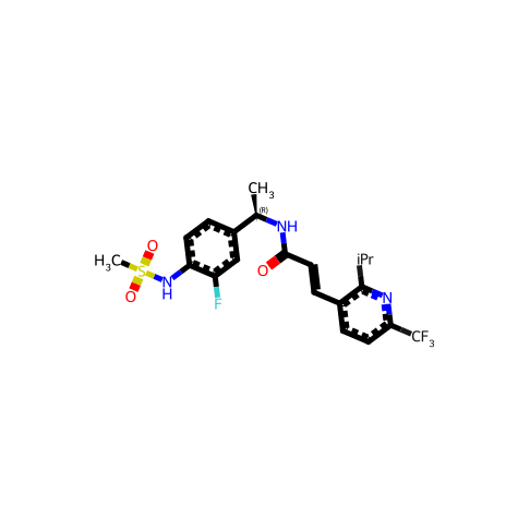 CC(C)c1nc(C(F)(F)F)ccc1C=CC(=O)N[C@H](C)c1ccc(NS(C)(=O)=O)c(F)c1